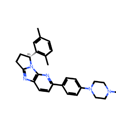 Cc1ccc(C)c([C@H]2CCc3nc4ccc(-c5ccc(N6CCN(C)CC6)cc5)nc4n32)c1